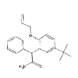 C=CCOc1ccc(C(C)(C)C)cc1C(C(N)=O)c1ccccc1